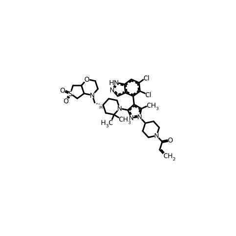 C=CC(=O)N1CCC(n2nc(N3CC[C@@H](CN4CCOC5CS(=O)(=O)CC54)CC3(C)C)c(-c3c(Cl)c(Cl)cc4[nH]ncc34)c2C)CC1